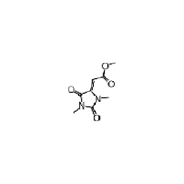 COC(=O)C=C1C(=O)N(C)C(=O)N1C